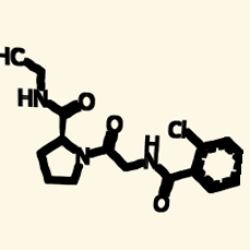 O=CCNC(=O)[C@@H]1CCCN1C(=O)CNC(=O)c1ccccc1Cl